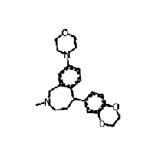 CN1CCC(c2ccc3c(c2)OCCO3)c2ccc(N3CCOCC3)cc2C1